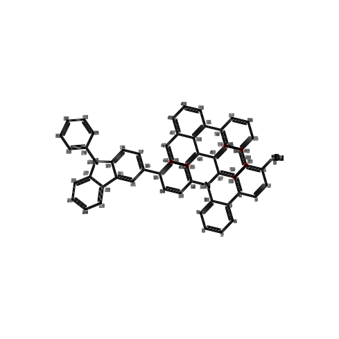 CC(C)(C)c1ccc(-c2ccccc2N(c2ccc(-c3ccc4c(c3)c3ccccc3n4-c3ccccc3)cc2)c2ccccc2-c2cccc3cccc(-c4ccccc4)c23)cc1